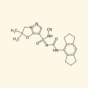 CC1(C)Cn2ncc(S(=O)(=NC(=O)Nc3c4c(cc5c3CCC5)CCC4)NC#N)c2O1